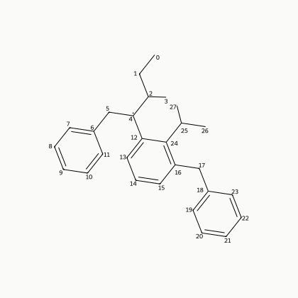 CCC(C)[C](Cc1ccccc1)c1cccc(Cc2ccccc2)c1C(C)C